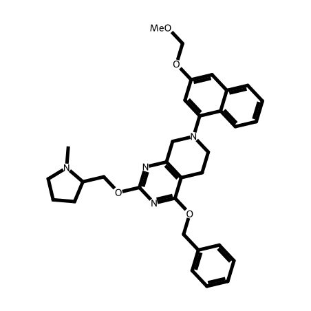 COCOc1cc(N2CCc3c(nc(OCC4CCCN4C)nc3OCc3ccccc3)C2)c2ccccc2c1